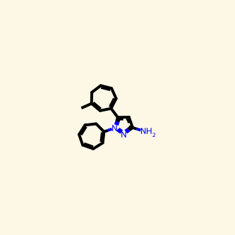 CC1=CC(c2cc(N)nn2C2=CC=CC=CC2)=CC=CC1